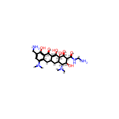 CN(C)c1cc(CN)c(O)c2c1CC1CC3[C@H](N(C)C)C(O)C(C(=O)NCN)C(=O)[C@@]3(O)C(O)=C1C2=O